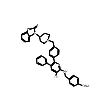 COc1ccc(CNc2nc(-c3ccc(CN4CCC(n5c(=O)[nH]c6ccccc65)CC4)cc3)c(-c3ccccc3)cc2C#N)cc1